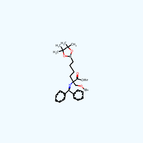 COC(=O)C(CCCCB1OC(C)(C)C(C)(C)O1)(COC(C)(C)C)N=C(c1ccccc1)c1ccccc1